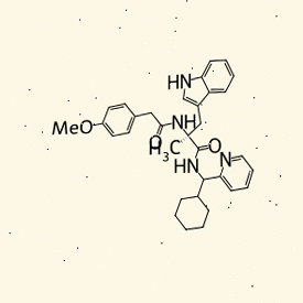 COc1ccc(CC(=O)N[C@@](C)(Cc2c[nH]c3ccccc23)C(=O)NC(c2ccccn2)C2CCCCC2)cc1